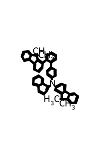 CC1(C)c2ccccc2-c2ccc(N(c3ccc(-c4ccccc4-c4cccc5c4C(C)(C)c4ccccc4-5)cc3)c3cccc4ccccc34)cc21